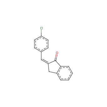 O=C1C(=Cc2ccc(Cl)cc2)Cc2ccccc21